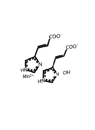 Cl.O=C([O-])C=Cc1c[nH]cn1.O=C([O-])C=Cc1c[nH]cn1.[Mn+2]